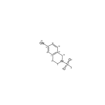 CS(=O)(=O)N1CCc2cc(N=O)ccc2C1